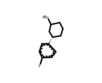 CC(C)(C)C1CCC[C@H](c2ccc(F)cc2)C1